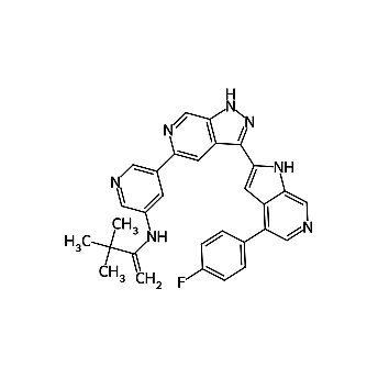 C=C(Nc1cncc(-c2cc3c(-c4cc5c(-c6ccc(F)cc6)cncc5[nH]4)n[nH]c3cn2)c1)C(C)(C)C